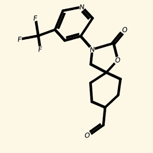 O=CC1CCC2(CC1)CN(c1cncc(C(F)(F)F)c1)C(=O)O2